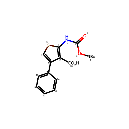 CC(C)(C)OC(=O)Nc1scc(-c2ccccc2)c1C(=O)O